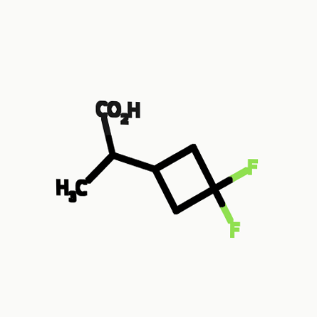 CC(C(=O)O)C1CC(F)(F)C1